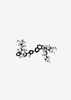 COC(=O)NCC(=O)N(Cc1nc2ccc3cc(-c4ccc(-c5cnc([C@@H]6[C@H]7CC[C@H](C7)N6C(=O)CNC(=O)OC)[nH]5)c(F)c4)ccc3c2[nH]1)[C@H](C)C(C)C